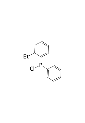 CCc1ccccc1P(Cl)c1ccccc1